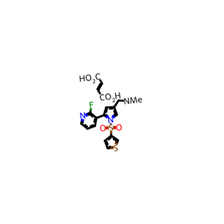 CNCc1cc(-c2cccnc2F)n(S(=O)(=O)c2ccsc2)c1.O=C(O)C=CC(=O)O